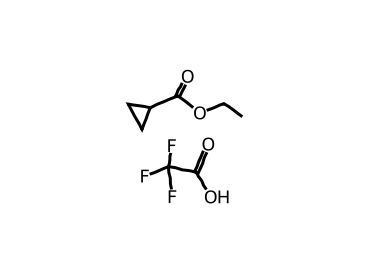 CCOC(=O)C1CC1.O=C(O)C(F)(F)F